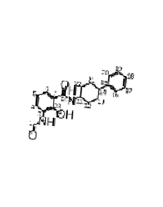 O=CNc1cccc(C(=O)NC2CCC(c3ccccc3)CC2)c1O